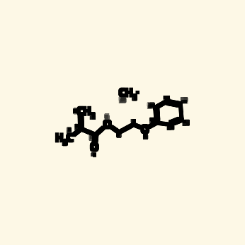 C=C(C)C(=O)OCCOc1ccccc1.[CH3]